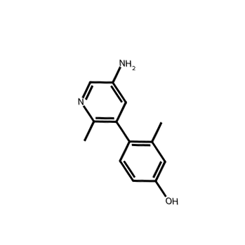 Cc1cc(O)ccc1-c1cc(N)cnc1C